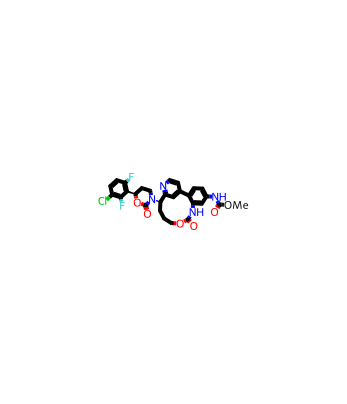 COC(=O)Nc1ccc2c(c1)NC(=O)OCCC[C@H](N1CC[C@H](c3c(F)ccc(Cl)c3F)OC1=O)c1cc-2ccn1